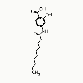 CCCCCCCCCC(=O)Nc1ccc(C(=O)O)c(O)c1